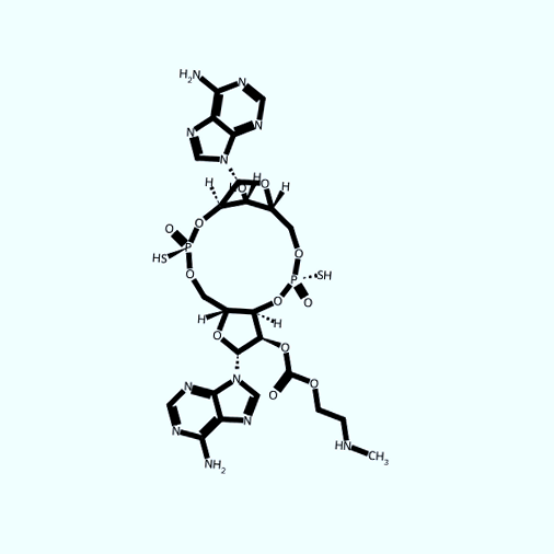 CNCCOC(=O)O[C@@H]1[C@@H]2O[P@@](=O)(S)OC[C@H]3O[C@@H](n4cnc5c(N)ncnc54)[C@H](O[P@](=O)(S)OC[C@H]2O[C@H]1n1cnc2c(N)ncnc21)[C@@H]3O